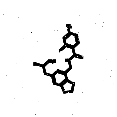 CCC(Cc1cc2c(c(CNC(=O)c3ccc(C(F)(F)F)cc3F)c1)OCC2)C(=O)O